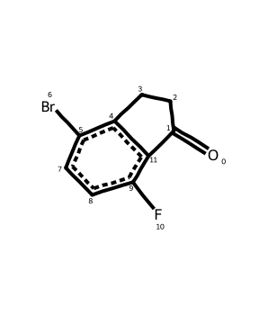 O=C1CCc2c(Br)ccc(F)c21